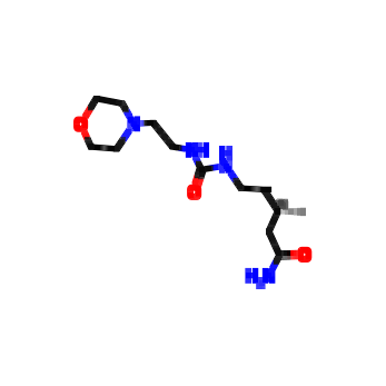 C[C@@H]([CH]CNC(=O)NCCN1CCOCC1)CC(N)=O